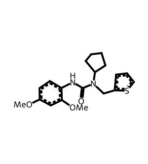 COc1ccc(NC(=O)N(Cc2cccs2)C2CCCC2)c(OC)c1